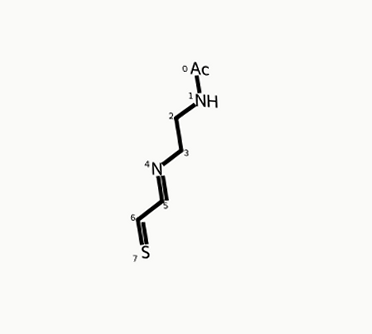 CC(=O)NCCN=CC=S